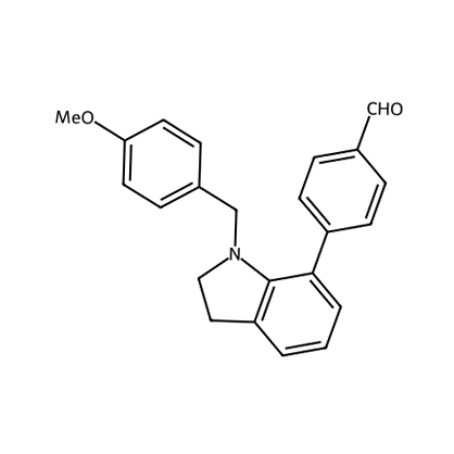 COc1ccc(CN2CCc3cccc(-c4ccc(C=O)cc4)c32)cc1